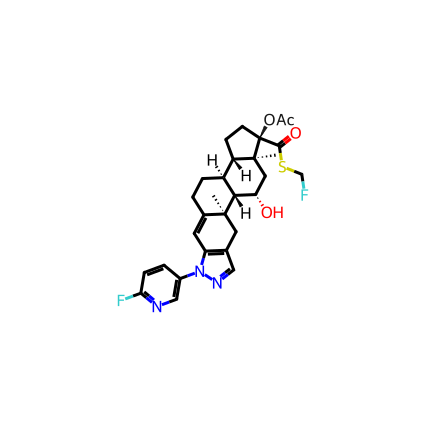 CC(=O)O[C@]1(C(=O)SCF)CC[C@H]2[C@@H]3CCC4=Cc5c(cnn5-c5ccc(F)nc5)C[C@]4(C)[C@H]3[C@@H](O)C[C@@]21C